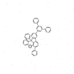 c1ccc(-c2cc(-c3ccccc3)cc(-c3ccc4c(c3)-c3ccc(-c5ccccc5)c5c3C4(c3ccccc3)c3ccccc3O5)c2)cc1